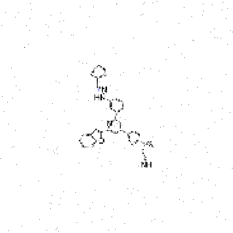 N=CCC1(c2ccc(-c3cc(-c4cccc(N/N=C/c5ccccc5)c4)nc(-c4cc5ccccc5o4)c3)cc2)C=C1